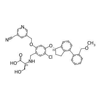 COCc1ccccc1-c1cccc2c1CC[C@@H]2Oc1cc(OCc2cncc(C#N)c2)c(CN[C@@H](CO)C(=O)O)cc1Cl